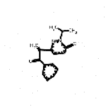 C=C(C(=O)c1ccccc1)c1ccc(=O)n(C(C)C)n1